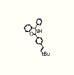 CC(C)(C)/C=C/c1ccc(C(=O)NC(c2ccccc2)c2ccccc2)cc1